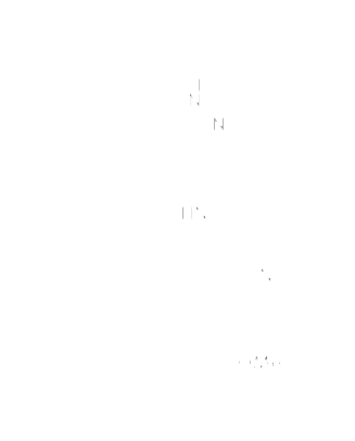 COc1ccccc1-c1cncc(NCc2cc(-c3ccccc3)[nH]n2)c1